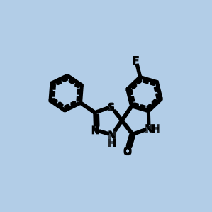 O=C1Nc2ccc(F)cc2C12NN=C(c1ccccc1)S2